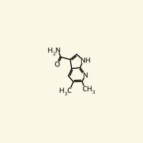 Cc1cc2c(C(N)=O)c[nH]c2nc1C